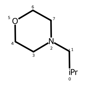 CC(C)[CH]N1CCOCC1